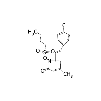 CCCCS(=O)(=O)On1c(C=Cc2ccc(Cl)cc2)cc(C)cc1=O